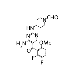 COc1ccc(F)c(F)c1C(=O)c1cnc(NC2CCN(C=O)CC2)nc1N